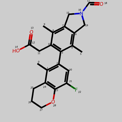 Cc1c(-c2c(C)c3c(c(C)c2CC(=O)O)CN(C=O)C3)cc(F)c2c1CCCO2